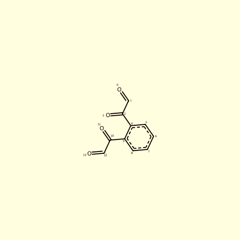 O=[C]C(=O)c1ccccc1C(=O)[C]=O